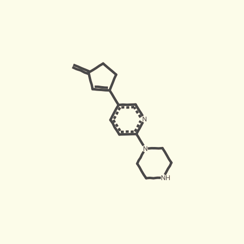 C=C1C=C(c2ccc(N3CCNCC3)nc2)CC1